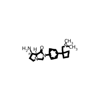 CN(C)CC1(c2ccc(N3CN4CC[C@@H](N)[C@H]4C3=O)cc2)CCC1